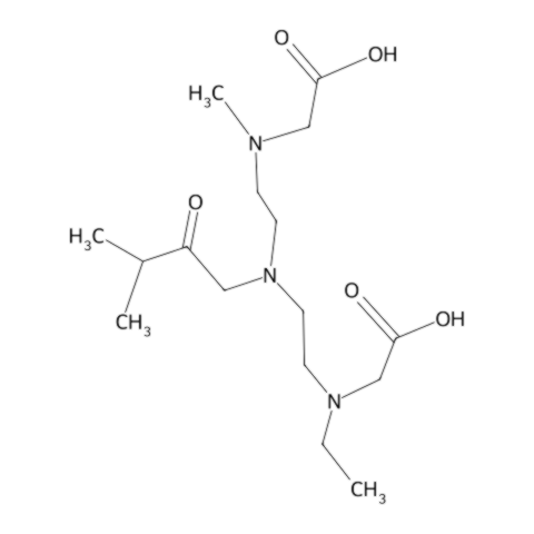 CCN(CCN(CCN(C)CC(=O)O)CC(=O)C(C)C)CC(=O)O